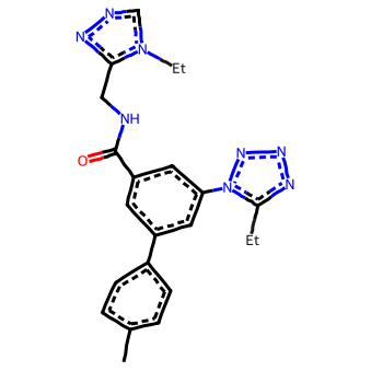 CCc1nnnn1-c1cc(C(=O)NCc2nncn2CC)cc(-c2ccc(C)cc2)c1